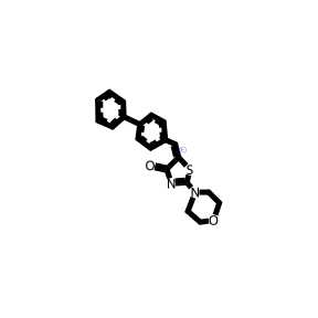 O=C1N=C(N2CCOCC2)S/C1=C/c1ccc(-c2ccccc2)cc1